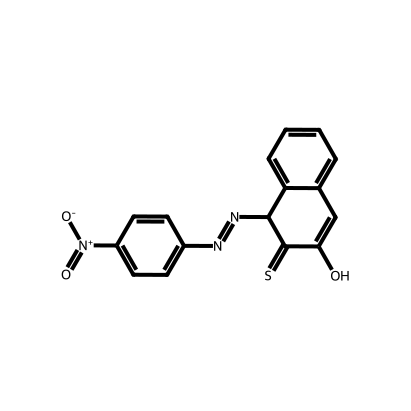 O=[N+]([O-])c1ccc(N=NC2C(=S)C(O)=Cc3ccccc32)cc1